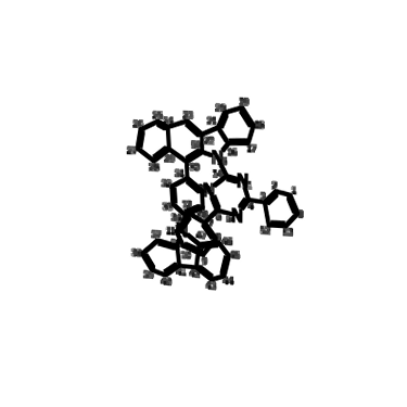 c1ccc(-c2nc(-c3ccccc3)nc(-n3c4ccccc4c4cc5ccccc5c(-c5ccc(-n6c7ccccc7c7ccccc76)cc5)c43)n2)cc1